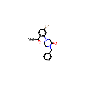 CNC(=O)c1ccc(Br)cc1N1CCN(Cc2ccccc2)C(=O)C1